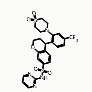 O=S1(=O)CCN(c2cc(C(F)(F)F)ccc2C2CCOc3cc(S(=O)(=O)Nc4ncccn4)ccc32)CC1